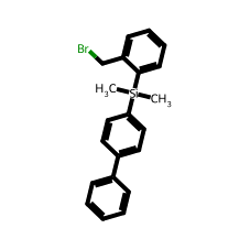 C[Si](C)(c1ccc(-c2ccccc2)cc1)c1ccccc1CBr